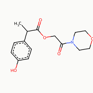 CC(C(=O)OCC(=O)N1CCOCC1)c1ccc(O)cc1